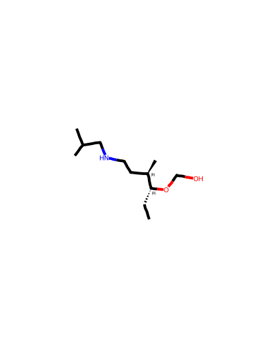 CC[C@@H](OCO)[C@H](C)CCNCC(C)C